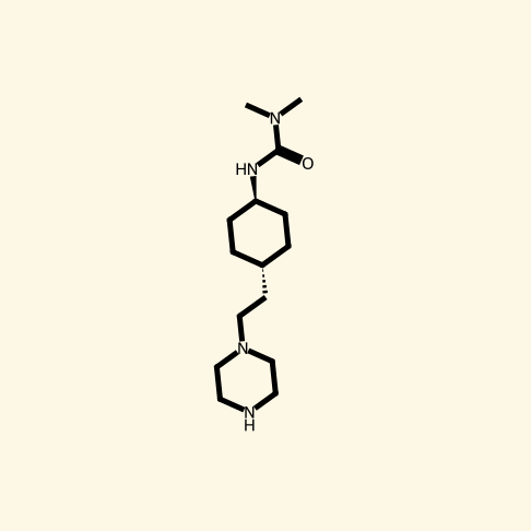 CN(C)C(=O)N[C@H]1CC[C@H](CCN2CCNCC2)CC1